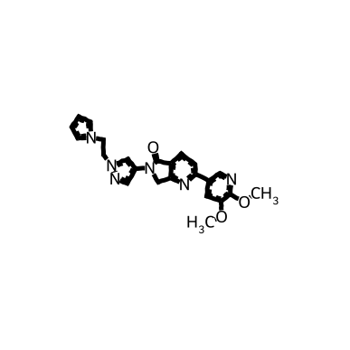 COc1cc(-c2ccc3c(n2)CN(c2cnn(CCn4cccc4)c2)C3=O)cnc1OC